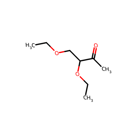 CCOCC(OCC)C(C)=O